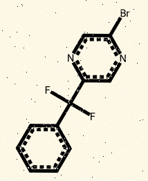 FC(F)(c1ccccc1)c1cnc(Br)cn1